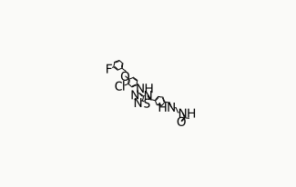 CC(=O)NCCNCc1ccc(-c2nc3c(Nc4ccc(OCc5cccc(F)c5)c(Cl)c4)ncnc3s2)cc1